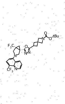 CC(C)(C)OC(=O)N1CC2(CC(c3nnc([C@]45CN(c6ccc(C(F)(F)F)c7ncccc67)C[C@@]4(C(F)(F)F)C5)o3)C2)C1